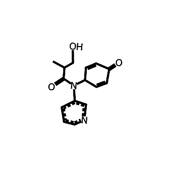 CC(CO)C(=O)N(c1cccnc1)C1C=CC(=O)C=C1